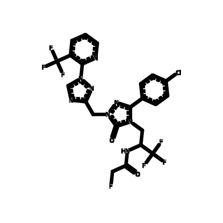 O=C(CF)NC(Cn1c(-c2ccc(Cl)cc2)nn(Cc2ncn(-c3ncccc3C(F)(F)F)n2)c1=O)C(F)(F)F